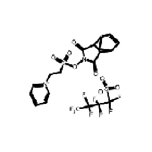 O=C1C2C3C=CC(C3)C2C(=O)N1OS(=O)(=O)CC[n+]1ccccc1.O=S(=O)([O-])C(F)(F)C(F)(F)C(F)(F)C(F)(F)F